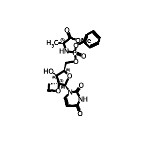 COC(=O)[C@H](C)NP(=O)(OC[C@H]1O[C@@H](n2ccc(=O)[nH]c2=O)[C@]2(CCO2)[C@@H]1O)Oc1ccccc1